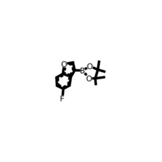 CC1(C)OB(c2coc3ccc(F)cc23)OC1(C)C